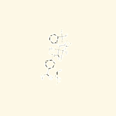 CON=C(C)c1cc(N(C)C(=O)C(O)(C(c2ccccc2C(F)(F)F)C2CCC2)C(F)(F)F)ccc1C(=O)OC